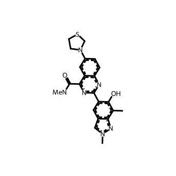 CNC(=O)c1nc(-c2cc3cn(C)nc3c(C)c2O)nc2ccc(N3CCSC3)cc12